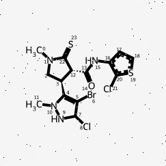 CN1C[C@H](C2=C(Br)C(Cl)NN2C)[C@@H](C(=O)Nc2ccsc2Cl)C1=S